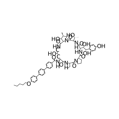 CCCCCOc1ccc(-c2ccc(-c3ccc(C(=O)N[C@H]4C[C@@H](O)CNC(=O)C5[C@@H](O)[C@@H](C)CN5C(=O)C([C@@H](C)O)NC(=O)C([C@H](O)[C@@H](O)c5ccc(O)cc5)NC(=O)C5CCCN5C(=O)C(CC)NC4=O)cc3)cc2)cc1